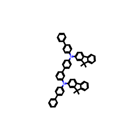 CC1(C)c2ccccc2-c2ccc(N(c3ccc(-c4ccccc4)cc3)c3ccc(-c4cccc(N(c5ccc(-c6ccccc6)cc5)c5ccc6c(c5)C(C)(C)c5ccccc5-6)c4)cc3)cc21